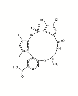 C[C@H]1CNC(=O)c2cc(Cl)c(O)c(c2)S(=O)(=O)Nc2cc(c(F)cc2F)-c2cc(C(=O)O)ccc2O1